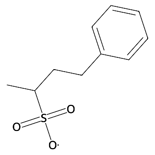 CC(CCc1ccccc1)S([O])(=O)=O